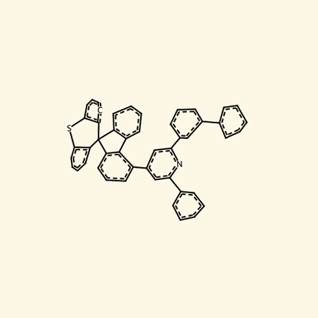 c1ccc(-c2cccc(-c3cc(-c4cccc5c4-c4ccccc4C54c5ccccc5Sc5ccccc54)cc(-c4ccccc4)n3)c2)cc1